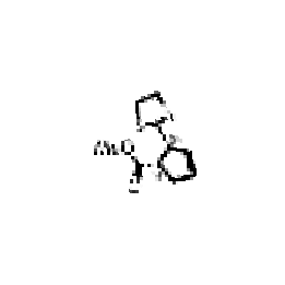 COC(=O)[C@H]1CC=C[C@@H]1C1SCCS1